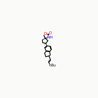 CCCC/C=C/C1CCc2cc([C@H]3CC[C@]4(COC(=O)N4)C3)ccc2C1